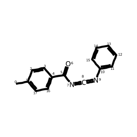 Cc1ccc(C(=O)N=C=Nc2ccccc2)cc1